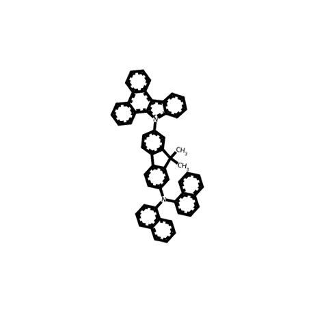 CC1(C)c2cc(N(c3cccc4ccccc34)c3cccc4ccccc34)ccc2-c2ccc(-n3c4ccccc4c4c5ccccc5c5ccccc5c43)cc21